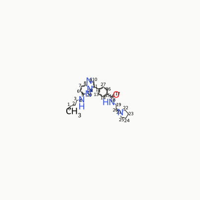 CCCCNc1ccc2ncc(-c3ccc(C(=O)NCCN4CCCC4)cc3)n2n1